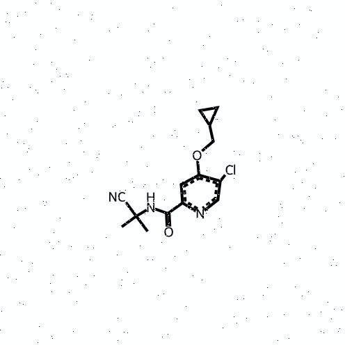 CC(C)(C#N)NC(=O)c1cc(OCC2CC2)c(Cl)cn1